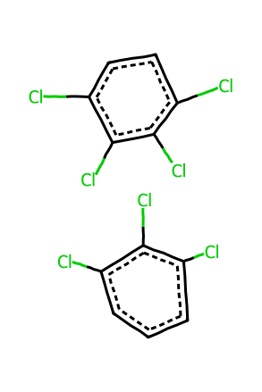 Clc1ccc(Cl)c(Cl)c1Cl.Clc1cccc(Cl)c1Cl